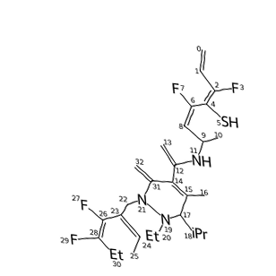 C=C/C(F)=C(S)\C(F)=C/C(C)NC(=C)C1=C(C)C(C(C)C)N(CC)N(CC(=C/C)/C(F)=C(/F)CC)C1=C